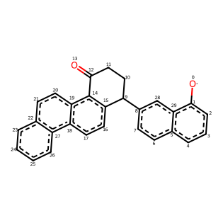 [O]c1cccc2ccc(C3CCC(=O)c4c3ccc3c4ccc4ccccc43)cc12